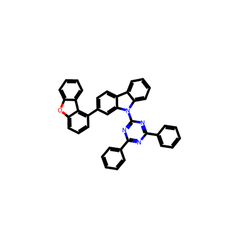 c1ccc(-c2nc(-c3ccccc3)nc(-n3c4ccccc4c4ccc(-c5cccc6oc7ccccc7c56)cc43)n2)cc1